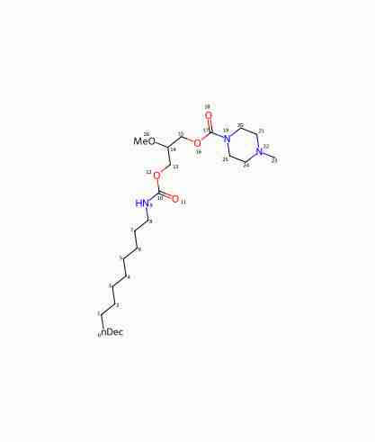 CCCCCCCCCCCCCCCCCCNC(=O)OCC(COC(=O)N1CCN(C)CC1)OC